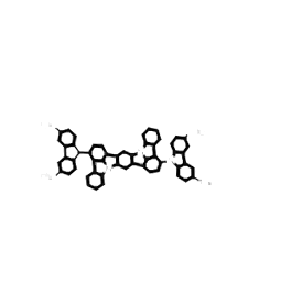 CC(C)(C)c1ccc2c(c1)-c1cc(C(C)(C)C)ccc1C2c1ccc2c3cc4c(cc3n3c5ccccc5c1c23)c1ccc(-n2c3ccc(C(C)(C)C)cc3c3cc(C(C)(C)C)ccc32)c2c3ccccc3n4c12